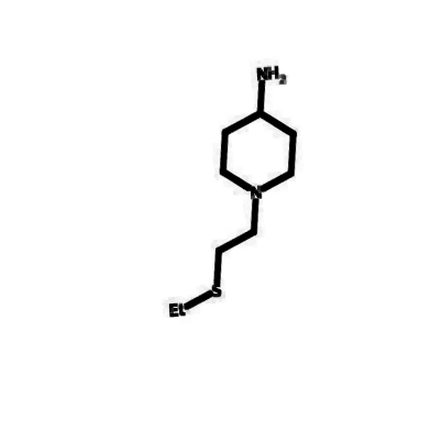 CCSCCN1CCC(N)CC1